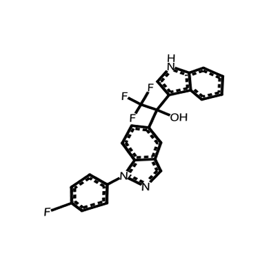 OC(c1ccc2c(cnn2-c2ccc(F)cc2)c1)(c1c[nH]c2ccccc12)C(F)(F)F